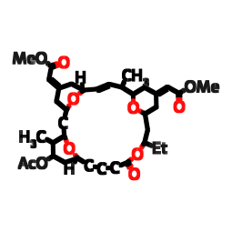 CCC1CC2C/C(=C\C(=O)OC)CC(O2)C(C)/C=C/[C@H]2C/C(=C\C(=O)OC)CC(CC3O[C@H](CCCC(=O)O1)CC(OC(C)=O)C3C)O2